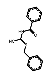 N#CC(NC(=O)c1ccccc1)SCc1ccccc1